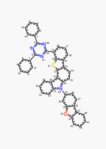 c1ccc(-c2nc(-c3ccccc3)nc(-c3cccc4c3sc3c4ccc4c3c3ccccc3n4-c3ccc4c(c3)oc3ccccc34)n2)cc1